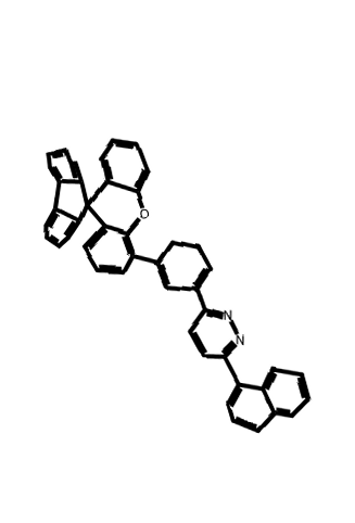 C1=C(c2ccc(-c3cccc4ccccc34)nn2)C=C(c2cccc3c2Oc2ccccc2C32c3ccccc3-c3ccccc32)CC1